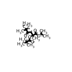 CC(C)OC(=O)C(C)(CC(=O)C(C)(C)C)OC(=O)C(C)(C)C